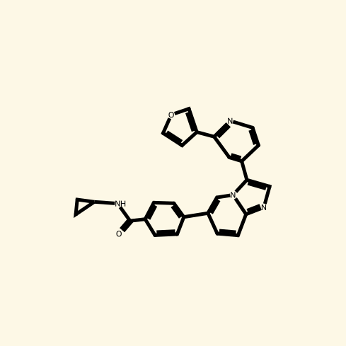 O=C(NC1CC1)c1ccc(-c2ccc3ncc(-c4ccnc(-c5ccoc5)c4)n3c2)cc1